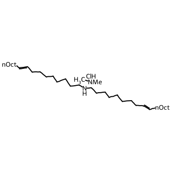 CCCCCCCCC=CCCCCCCCCNCCCCCCCCC=CCCCCCCCC.CNC.Cl